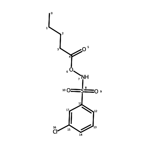 CCCCC(=O)ONS(=O)(=O)c1cccc(Cl)c1